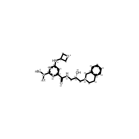 CCCCN(CC)c1nc(NC2COC2)cc(C(=O)NC[C@H](O)CN2CCc3ccccc3C2)n1